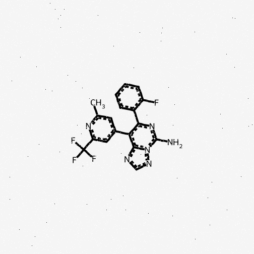 Cc1cc(-c2c(-c3ccccc3F)nc(N)n3ncnc23)cc(C(F)(F)F)n1